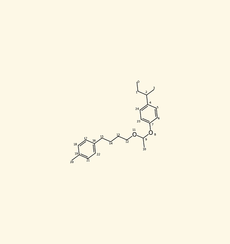 CCC(C)c1ccc(OC(C)OCCCCc2ccc(C)cc2)cc1